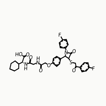 O=C(COc1ccc(C2C(SCC(=O)c3ccc(F)cc3)C(=O)N2c2ccc(F)cc2)cc1)NCC(=O)N[C@@H](C(=O)O)C1CCCCC1